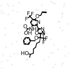 C=CCOc1nc(-c2nnc([C@@](CCCCCC(C)O)(OCc3ccccc3)C(F)(F)F)o2)c(NC(=O)O)cc1C(F)(F)F